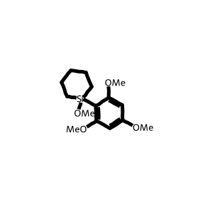 COc1cc(OC)c([Si]2(OC)CCCCC2)c(OC)c1